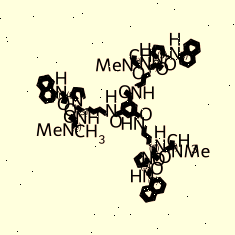 CN[C@@H](C)C(=O)N[C@@H](CCCCNC(=O)c1cc(C(=O)NCCCC[C@H](NC(=O)[C@H](C)NC)C(=O)N2CCC[C@H]2C(=O)N[C@@H]2CCCc3ccccc32)cc(C(=O)NCCCC[C@H](NC(=O)[C@H](C)NC)C(=O)N2CCC[C@H]2C(=O)N[C@@H]2CCCc3ccccc32)c1)C(=O)N1CCC[C@H]1C(=O)N[C@@H]1CCCc2ccccc21